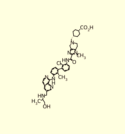 Cc1c(Nc2nccc3cc(CNC(C)CO)cnc23)cccc1-c1cccc(NC(=O)c2nc3c(n2C)CCN(C[C@H]2CC[C@H](C(=O)O)CC2)C3)c1Cl